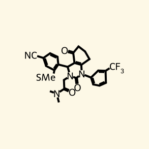 CSc1cc(C#N)ccc1C1C2=C(CCCC2=O)N(c2cccc(C(F)(F)F)c2)C(=O)N1CC(=O)N(C)C